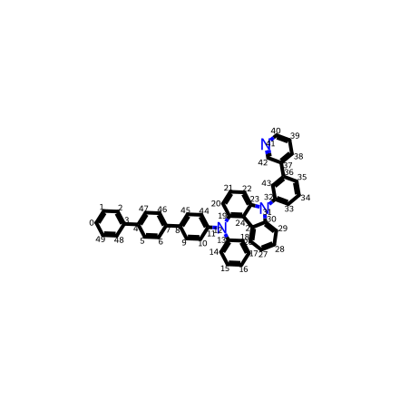 c1ccc(-c2ccc(-c3ccc(N(c4ccccc4)c4cccc5c4c4ccccc4n5-c4cccc(-c5cccnc5)c4)cc3)cc2)cc1